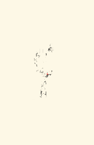 Cc1ccc(OCCCOCCOCc2cc(C)on2)c(-c2cc(OCCOCCOCCc3cc(C)on3)c(-c3cc(N4CCN(Cc5cc(C)on5)CC4)ccc3C)cc2C)c1